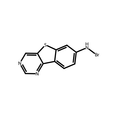 BrNc1ccc2c(c1)sc1cncnc12